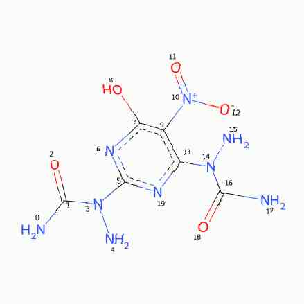 NC(=O)N(N)c1nc(O)c([N+](=O)[O-])c(N(N)C(N)=O)n1